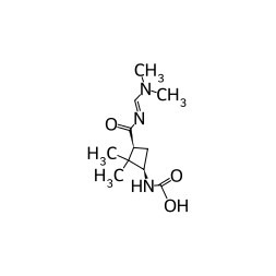 CN(C)/C=N/C(=O)[C@H]1C[C@@H](NC(=O)O)C1(C)C